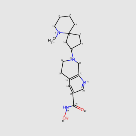 CN1CCCCC12CCC(N1CCc3cc(C(=O)NO)cnc3C1)C2